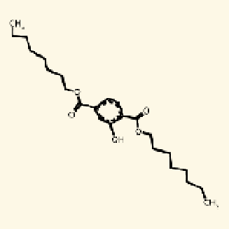 CCCCCCCCOC(=O)c1ccc(C(=O)OCCCCCCCC)c(O)c1